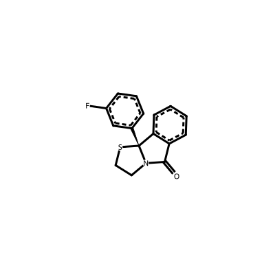 O=C1c2ccccc2[C@@]2(c3cccc(F)c3)SCCN12